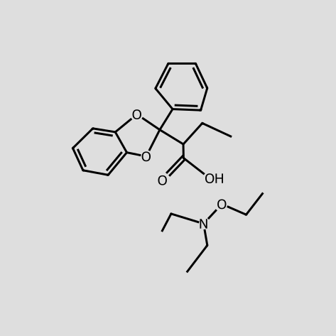 CCC(C(=O)O)C1(c2ccccc2)Oc2ccccc2O1.CCON(CC)CC